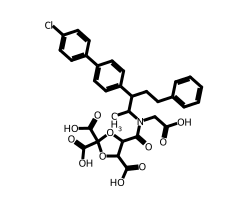 CC(C(CCc1ccccc1)c1ccc(-c2ccc(Cl)cc2)cc1)N(CC(=O)O)C(=O)C1OC(C(=O)O)(C(=O)O)OC1C(=O)O